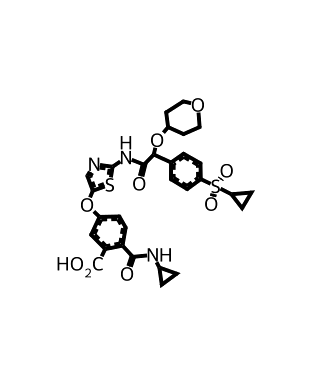 O=C(O)c1cc(Oc2cnc(NC(=O)C(OC3CCOCC3)c3ccc(S(=O)(=O)C4CC4)cc3)s2)ccc1C(=O)NC1CC1